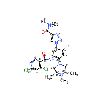 CCN(CC)C(=O)c1cn(-c2cc(NC(=O)c3cnc(Cl)cc3Cl)c(N3C[C@@H](C)N(C)[C@@H](C)C3)cc2F)nn1